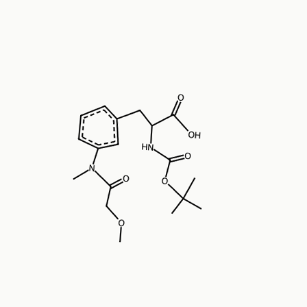 COCC(=O)N(C)c1cccc(CC(NC(=O)OC(C)(C)C)C(=O)O)c1